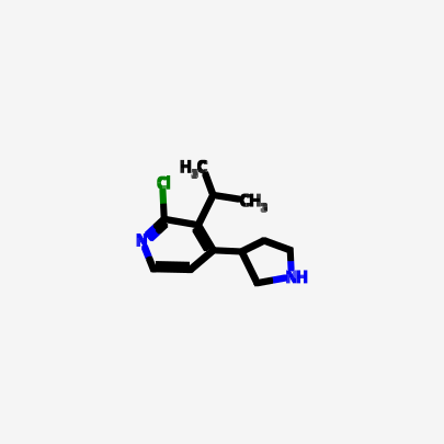 CC(C)c1c(C2CCNC2)ccnc1Cl